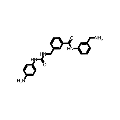 NCc1cccc(NC(=O)c2cccc(CNC(=O)Nc3ccc(N)cc3)c2)c1